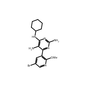 COc1ncc(Br)cc1-c1nc(N)nc(NC2CCCCC2)c1N